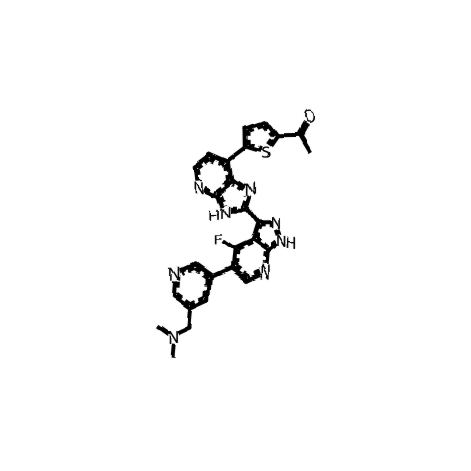 CC(=O)c1ccc(-c2ccnc3[nH]c(-c4n[nH]c5ncc(-c6cncc(CN(C)C)c6)c(F)c45)nc23)s1